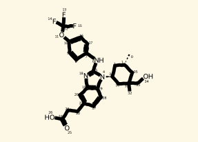 C[C@H]1C[C@@H](n2c(Nc3ccc(OC(F)(F)F)cc3)nc3cc(CCC(=O)O)ccc32)CC(C)(CO)C1